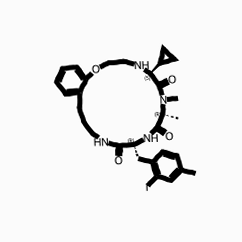 Cc1ccc(C[C@H]2NC(=O)[C@@H](C)N(C)C(=O)[C@H](C3CC3)NCCOc3ccccc3CCCNC2=O)c(I)c1